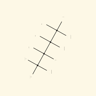 FC(F)(Cl)C(F)(Cl)C(Cl)(Cl)C(F)(Cl)Cl